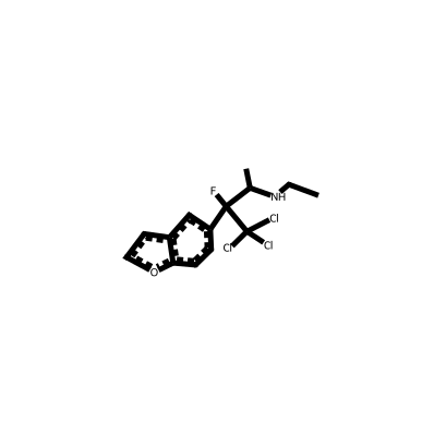 CCNC(C)C(F)(c1ccc2occc2c1)C(Cl)(Cl)Cl